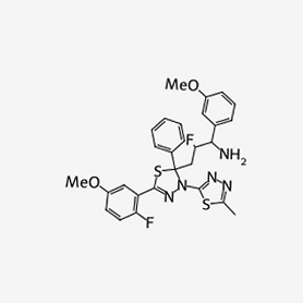 COc1cccc(C(N)C(F)CC2(c3ccccc3)SC(c3cc(OC)ccc3F)=NN2c2nnc(C)s2)c1